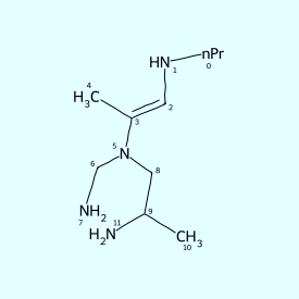 CCCN/C=C(\C)N(CN)CC(C)N